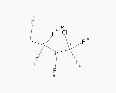 FCC(F)(F)C(F)C(F)(F)Cl